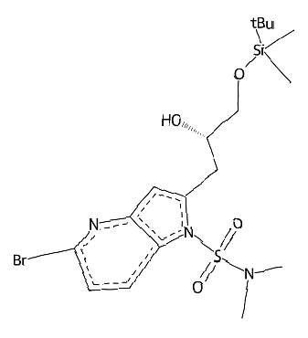 CN(C)S(=O)(=O)n1c(C[C@H](O)CO[Si](C)(C)C(C)(C)C)cc2nc(Br)ccc21